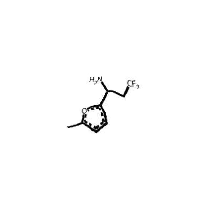 Cc1ccc(C(N)CC(F)(F)F)o1